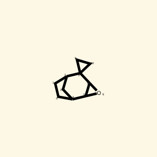 C1CC2CC1C1OC1C21CC1